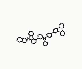 C1=CCC(c2ccc(-c3ccc(N(c4ccccc4)c4cccc(-c5cccc6c5c5ccccc5n6-c5ccc6ccccc6c5)c4)cc3)cc2-c2ccccc2)C=C1